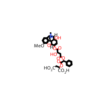 COc1ccc2c3c1O[C@H]1C(OC(=O)[C@@H](O)CC(=O)O[C@H](C(=O)O[C@H](CC(=O)O)C(=O)O)c4ccccc4)=CC[C@@]4(O)[C@@H](C2)N(C)CC[C@]314